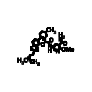 COc1ncc(NC(=O)C(=O)N2CC(C)CCC2c2ccc3sc(CCN(C)C)nc3c2)cc1C(N)=O